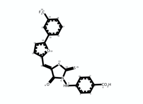 O=C(O)c1ccc(NN2C(=O)C(=Cc3ccc(-c4cccc(C(F)(F)F)c4)o3)SC2=S)cc1